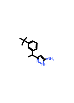 CC(c1cccc(C(C)(C)C)c1)c1cc(N)[nH]n1